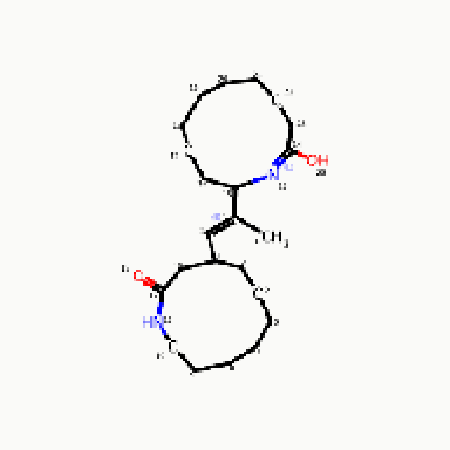 C/C(=C\C1CCCCCCCNC(=O)C1)C1CCCCCCCC/C(O)=N\1